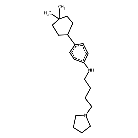 CC1(C)CCC(c2ccc(NCCCCN3CCCC3)cc2)CC1